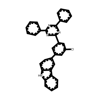 Clc1cc(-c2ccc3[nH]c4ccccc4c3c2)cc(-c2nc(-c3ccccc3)nc(-c3ccccc3)n2)c1